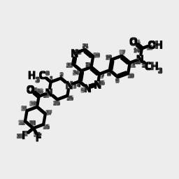 CC1CN(c2nnc(-c3ccc(N(C)C(=O)O)cc3)c3ccncc23)CCN1C(=O)C1CCC(F)(F)CC1